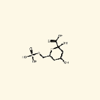 O=C(O)C1(O)CC(O)CC(COP(=O)(O)O)O1